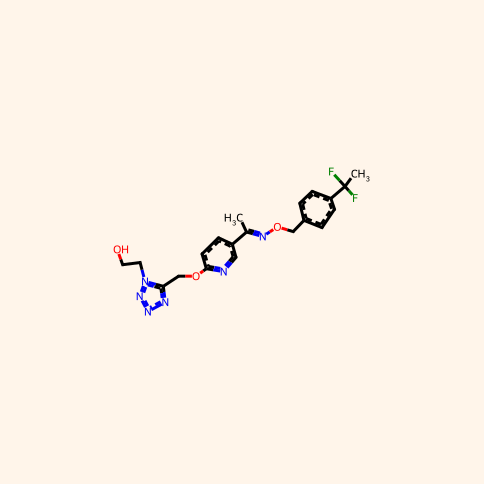 C/C(=N\OCc1ccc(C(C)(F)F)cc1)c1ccc(OCc2nnnn2CCO)nc1